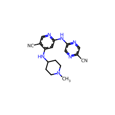 CN1CCC(Nc2cc(Nc3cnc(C#N)cn3)ncc2C#N)CC1